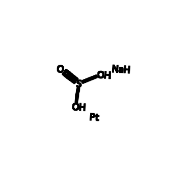 O=S(O)O.[NaH].[Pt]